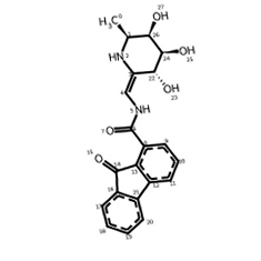 C[C@@H]1N/C(=C/NC(=O)c2cccc3c2C(=O)c2ccccc2-3)[C@@H](O)[C@H](O)[C@@H]1O